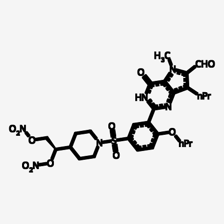 CCCOc1ccc(S(=O)(=O)N2CCC([C@H](CO[N+](=O)[O-])O[N+](=O)[O-])CC2)cc1-c1nc2c(CCC)c(C=O)n(C)c2c(=O)[nH]1